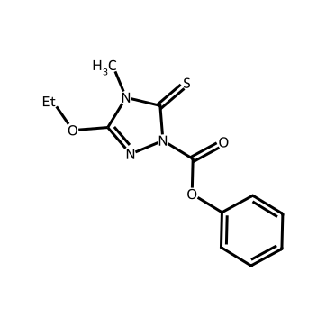 CCOc1nn(C(=O)Oc2ccccc2)c(=S)n1C